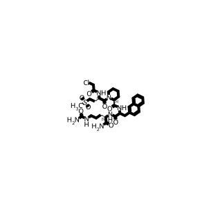 CS(=O)(=O)CC[C@H](NC(=O)CCl)C(=O)N1CCCC[C@H]1C(=O)NC(Cc1ccc2ccccc2c1)C(=O)N[C@@H](CCCNC(N)=O)C(N)=O